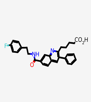 O=C(O)CCCCc1nc2cc(C(=O)NCCc3ccc(F)cc3)ccc2cc1-c1ccccc1